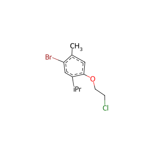 Cc1cc(OCCCl)c(C(C)C)cc1Br